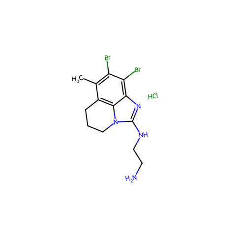 Cc1c(Br)c(Br)c2nc(NCCN)n3c2c1CCC3.Cl